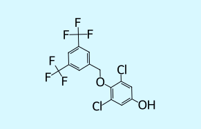 Oc1cc(Cl)c(OCc2cc(C(F)(F)F)cc(C(F)(F)F)c2)c(Cl)c1